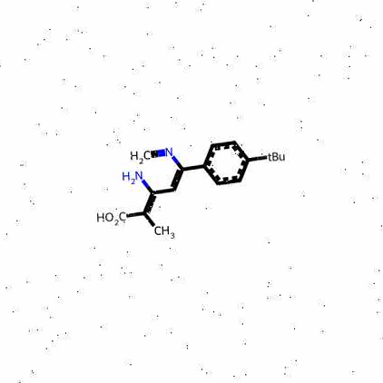 C=N/C(=C\C(N)=C(/C)C(=O)O)c1ccc(C(C)(C)C)cc1